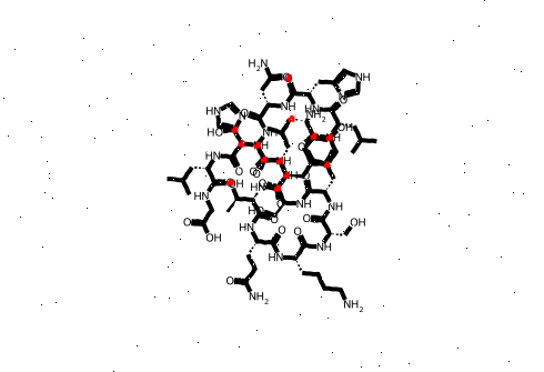 CC(C)C[C@H](NC(=O)[C@H](C)N)C(=O)N[C@@H](Cc1c[nH]cn1)C(=O)N[C@@H](CC(N)=O)C(=O)N[C@@H](Cc1c[nH]cn1)C(=O)N[C@@H](Cc1ccc(O)cc1)C(=O)N[C@H](C(=O)N[C@@H](CCC(N)=O)C(=O)N[C@@H](CCCCN)C(=O)N[C@@H](CO)C(=O)N[C@@H](CC(C)C)C(=O)N[C@@H](CO)C(=O)N[C@@H](CC(C)C)C(=O)N[C@@H](CO)C(=O)N[C@@H](CC(C)C)C(=O)NCC(=O)O)[C@@H](C)O